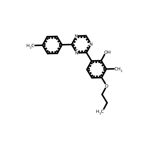 CCCOc1ccc(-c2ncnc(-c3ccc(C)cc3)n2)c(O)c1C